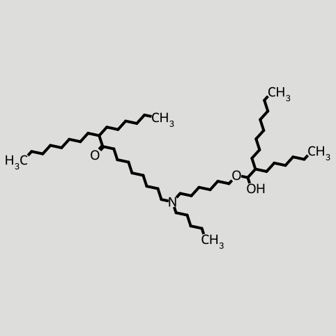 CCCCCCCCC(CCCCCC)C(=O)CCCCCCCCN(CCCCC)CCCCCCOC(O)C(CCCCCC)CCCCCCCC